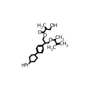 C=C(C)C(=C)OCC(COC(=O)C(=C)CO)c1ccc(C2CCC(CCC)CC2)cc1